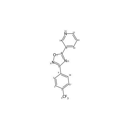 FC(F)(F)c1ccc(-c2noc(-c3cccnc3)n2)cc1